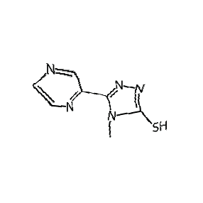 Cn1c(S)nnc1-c1cnccn1